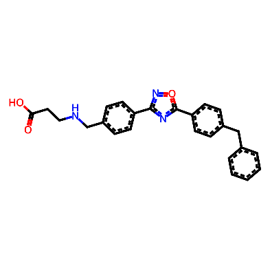 O=C(O)CCNCc1ccc(-c2noc(-c3ccc(Cc4ccccc4)cc3)n2)cc1